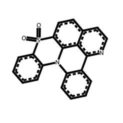 O=S1(=O)c2ccccc2N2c3ccccc3-c3nccc4ccc1c2c34